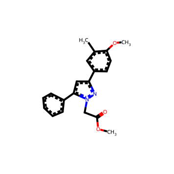 COC(=O)Cn1nc(-c2ccc(OC)c(C)c2)cc1-c1ccccc1